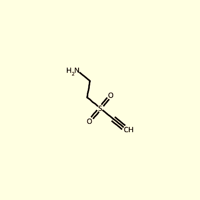 C#CS(=O)(=O)CCN